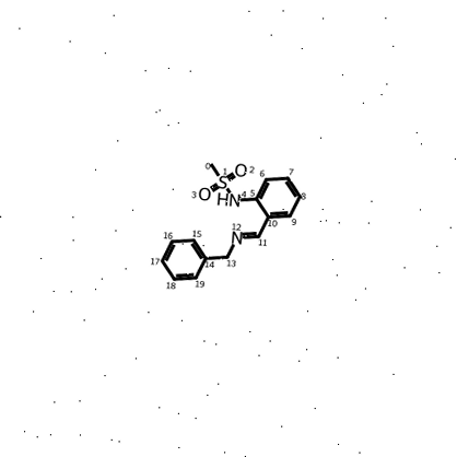 CS(=O)(=O)Nc1ccccc1C=NCc1ccccc1